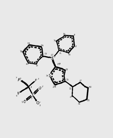 O=S(=O)([O-])C(F)(F)F.c1ccc([S+](c2ccccc2)c2cc(C3CCCCC3)cs2)cc1